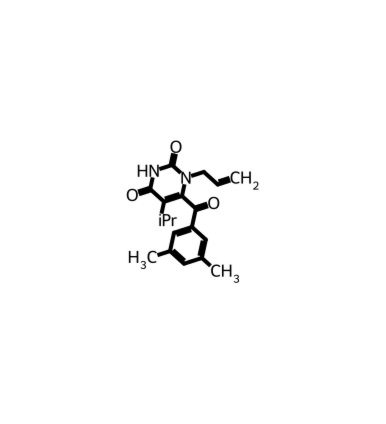 C=CCn1c(C(=O)c2cc(C)cc(C)c2)c(C(C)C)c(=O)[nH]c1=O